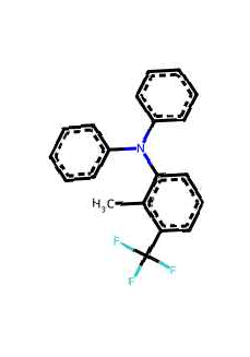 Cc1c(N(c2ccccc2)c2ccccc2)cccc1C(F)(F)F